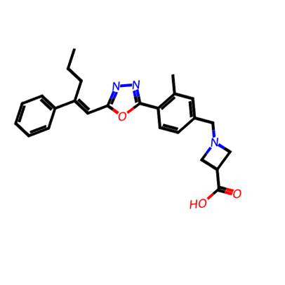 CCC/C(=C\c1nnc(-c2ccc(CN3CC(C(=O)O)C3)cc2C)o1)c1ccccc1